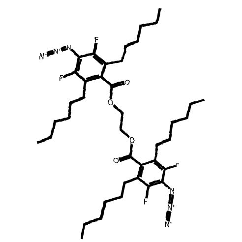 CCCCCCc1c(F)c(N=[N+]=[N-])c(F)c(CCCCCC)c1C(=O)OCCOC(=O)c1c(CCCCCC)c(F)c(N=[N+]=[N-])c(F)c1CCCCCC